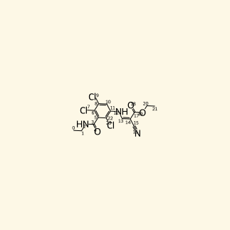 CCNC(=O)c1c(Cl)c(Cl)cc(NC=C(C#N)C(=O)OCC)c1Cl